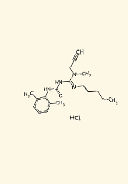 C#CCN(C)C(=NCCCCC)NC(=O)Nc1c(C)cccc1C.Cl